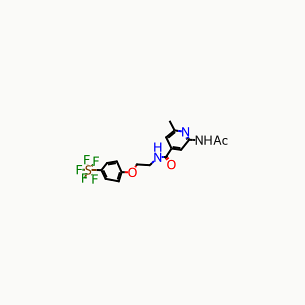 CC(=O)Nc1cc(C(=O)NCCOc2ccc(S(F)(F)(F)(F)F)cc2)cc(C)n1